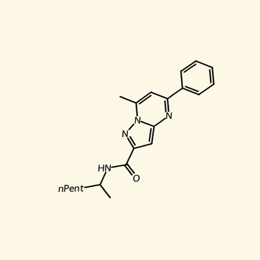 CCCCCC(C)NC(=O)c1cc2nc(-c3ccccc3)cc(C)n2n1